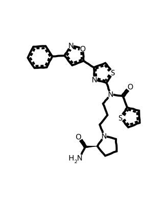 NC(=O)[C@@H]1CCCN1CCCN(C(=O)c1cccs1)c1nc(-c2cc(-c3ccccc3)no2)cs1